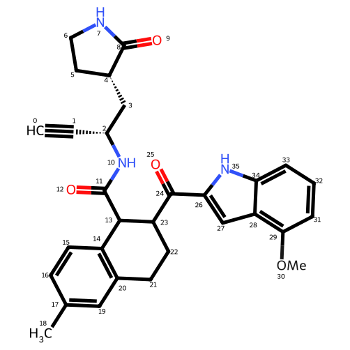 C#C[C@H](C[C@@H]1CCNC1=O)NC(=O)C1c2ccc(C)cc2CCC1C(=O)c1cc2c(OC)cccc2[nH]1